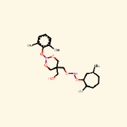 CC(C)(C)c1cccc(C(C)(C)C)c1OP1OCC(CO)(COPOC2CC(C(C)(C)C)CCCC2C(C)(C)C)CO1